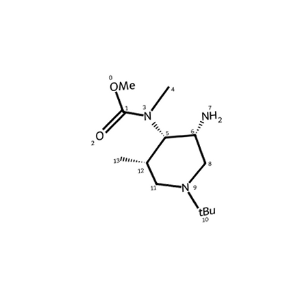 COC(=O)N(C)[C@@H]1[C@H](N)CN(C(C)(C)C)C[C@@H]1C